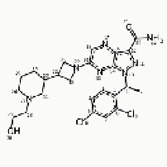 C[C@@H](c1ccc(Cl)cc1Cl)n1nc(C(N)=O)c2ncc(N3CC(C4CCCN(CCO)C4)C3)nc21